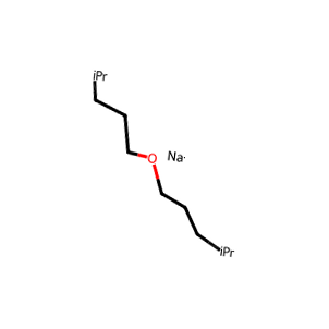 CC(C)CCCOCCCC(C)C.[Na]